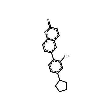 O=c1ccc2cc(-c3ccc(C4CCCC4)cc3O)ccc2o1